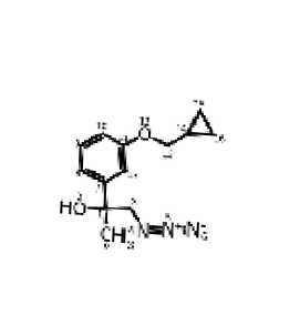 C[C@](O)(CN=[N+]=[N-])c1cccc(OCC2CC2)c1